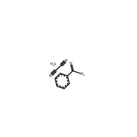 N#CC#N.NC(=O)c1ccccc1.S